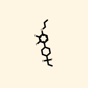 CCCOc1ccc(C2CCC(C(F)(F)CC)CC2)c(F)c1F